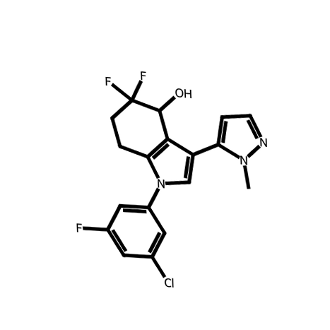 Cn1nccc1-c1cn(-c2cc(F)cc(Cl)c2)c2c1C(O)C(F)(F)CC2